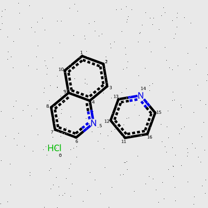 Cl.c1ccc2ncccc2c1.c1ccncc1